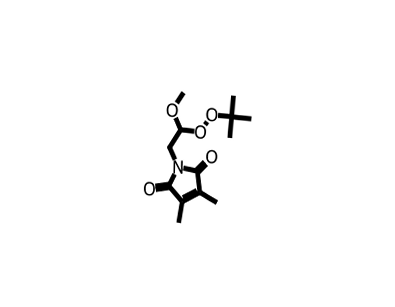 COC(CN1C(=O)C(C)=C(C)C1=O)OOC(C)(C)C